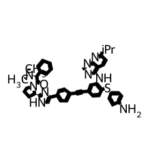 CC(C)c1ccc2c(Nc3cc(C#Cc4ccc(-c5c[nH]c([C@@H]6CCCN6C(=O)[C@@H](c6ccccc6)N(C)C)n5)cc4)ccc3Sc3ccc(N)cc3)ncnc2n1